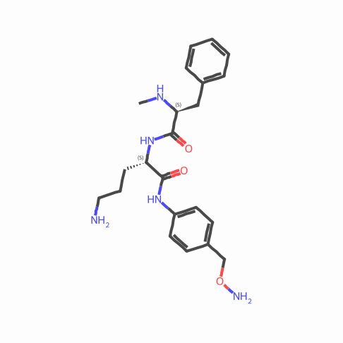 CN[C@@H](Cc1ccccc1)C(=O)N[C@@H](CCCN)C(=O)Nc1ccc(CON)cc1